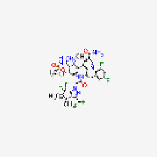 C[C@@H]1c2c(C(F)F)nn(CC(=O)N[C@@H](Cc3cc(F)cc(F)c3)c3ncc(C(N)=O)cc3-c3ccc(Cl)c4c(NS(C)(=O)=O)nn(C)c34)c2C(F)(F)[C@@H]1C